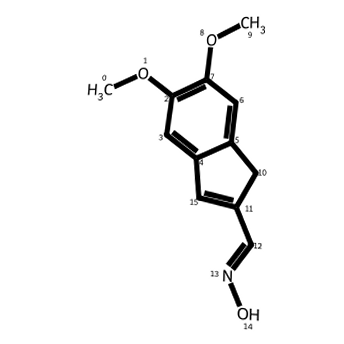 COc1cc2c(cc1OC)CC(C=NO)=C2